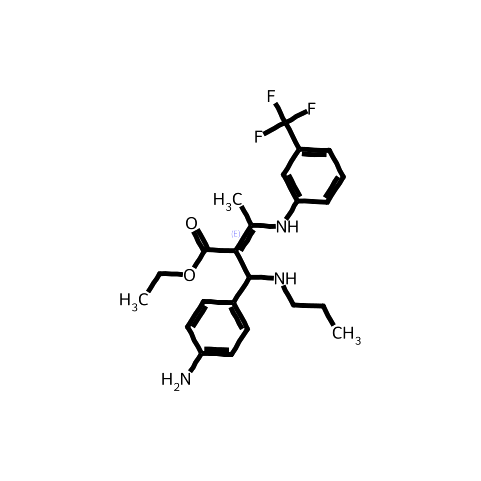 CCCNC(/C(C(=O)OCC)=C(/C)Nc1cccc(C(F)(F)F)c1)c1ccc(N)cc1